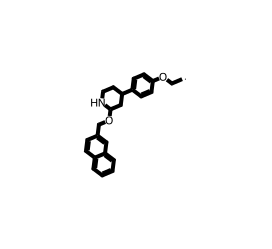 [CH2]COc1ccc(C2CCNC(OCc3ccc4ccccc4c3)C2)cc1